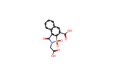 O=C(O)CN1C(=O)c2c(c(C(=O)O)cc3ccccc23)S1(=O)=O